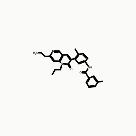 CCCn1c(=O)c(-c2cc(NC(=O)c3cccc(C)c3)ccc2C)cc2cnc(CCN)cc21